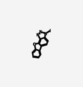 In1nnc2c3oc4ccccc4c3ccc21